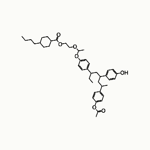 CCCCC1CCC(C(=O)OCCOC(C)Oc2ccc(C(CC)CC(CC(C)c3ccc(OC(C)=O)cc3)c3ccc(O)cc3)cc2)CC1